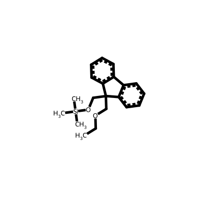 CCOCC1(CO[Si](C)(C)C)c2ccccc2-c2ccccc21